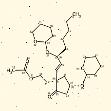 CCCCC[C@@H](C=C[C@@]1(CCOC(C)=O)C[C@H](OC2CCCCO2)CC1=O)OC1CCCCO1